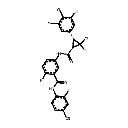 N#Cc1ccc(NC(=O)c2cc(NC(=O)[C@H]3[C@H](c4cc(Cl)c(Cl)c(Cl)c4)C3(Cl)Cl)ccc2F)c(F)c1